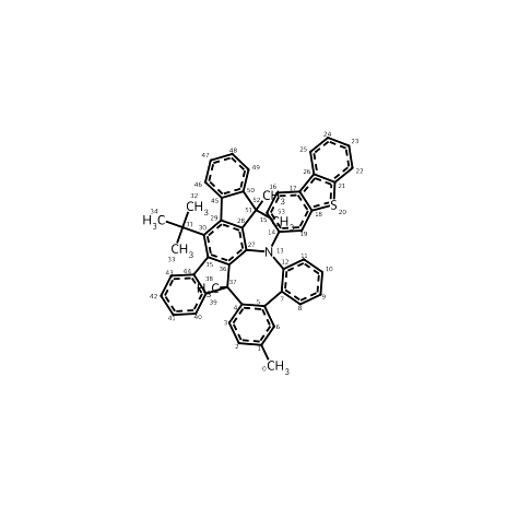 Cc1ccc2c(c1)-c1ccccc1N(c1ccc3c(c1)sc1ccccc13)c1c3c(c(C(C)(C)C)c4c1C2(C)c1ccccc1-4)-c1ccccc1C3(C)C